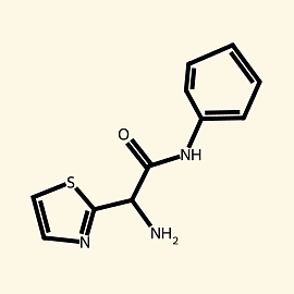 NC(C(=O)Nc1ccccc1)c1nccs1